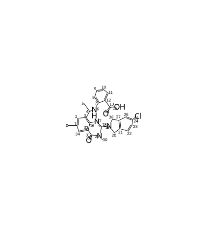 Cc1cc(C(C)Nc2ccccc2C(=O)O)c2nc(N3Cc4ccc(Cl)cc4C3)n(C)c(=O)c2c1